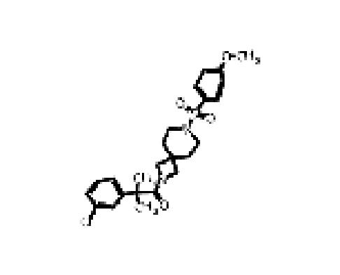 COc1ccc(S(=O)(=O)N2CCC3(CC2)CN(C(=O)C(C)(C)c2cccc(Cl)c2)C3)cc1